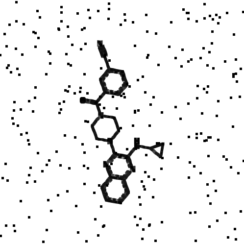 N#Cc1cccc(C(=O)N2CCN(c3nc4ccccc4nc3NC3CC3)CC2)c1